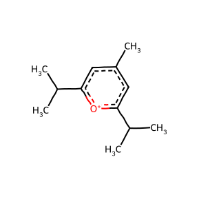 Cc1cc(C(C)C)[o+]c(C(C)C)c1